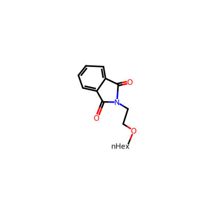 CCCCCCOCCN1C(=O)c2ccccc2C1=O